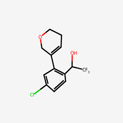 OC(c1ccc(Cl)cc1C1=CCCOC1)C(F)(F)F